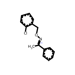 C/C(=N\OCc1ccccc1Cl)c1c[c]ccc1